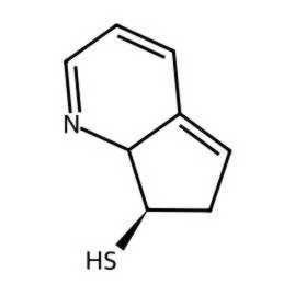 S[C@@H]1CC=C2C=CC=NC21